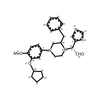 COc1ccc(N2CCN([C@@H](C=O)c3cncs3)C(Cc3ccccc3)C2)cc1OC1CCCC1